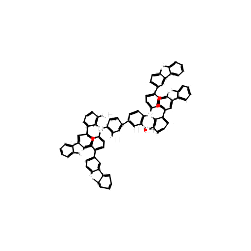 Cc1cc(-c2ccc(N(c3ccc(-c4ccc5sc6ccccc6c5c4)cc3)c3c(C)cccc3-c3ccc4oc5ccccc5c4c3)c(C)c2)ccc1N(c1ccc(-c2ccc3sc4ccccc4c3c2)cc1)c1c(C)cccc1-c1ccc2oc3ccccc3c2c1